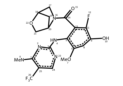 CNc1nc(Nc2c(OC)cc(O)c(F)c2C(=O)N2CC3CC2CO3)ncc1C(F)(F)F